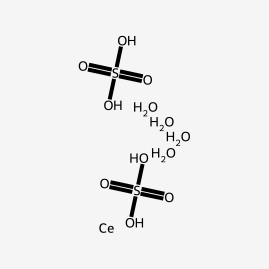 O.O.O.O.O=S(=O)(O)O.O=S(=O)(O)O.[Ce]